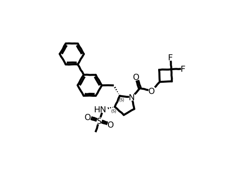 CS(=O)(=O)N[C@H]1CCN(C(=O)OC2CC(F)(F)C2)[C@H]1Cc1cccc(-c2ccccc2)c1